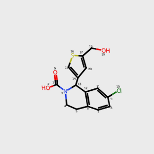 O=C(O)N1CCc2ccc(Cl)cc2C1c1csc(CO)c1